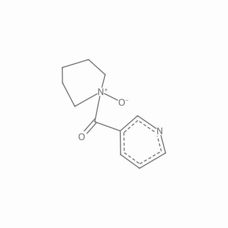 O=C(c1cccnc1)[N+]1([O-])CCCCC1